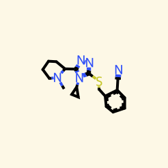 CN1CCCCC1c1nnc(SCc2ccccc2C#N)n1C1CC1